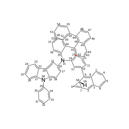 C1=C2C=c3ccccc3=C(c3cccc(N(c4ccc5c(c4)c4ccccc4n5-c4ccccc4)c4ccccc4-c4cccc5cccc(-c6ccccc6)c45)c3)[C@@H]12